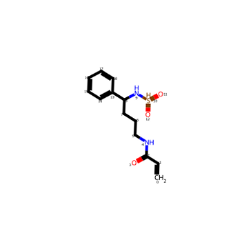 C=CC(=O)NCCCC(N[SH](=O)=O)c1ccccc1